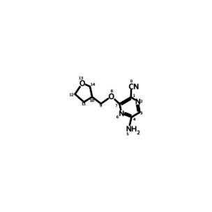 N#Cc1ncc(N)nc1OCC1CCOC1